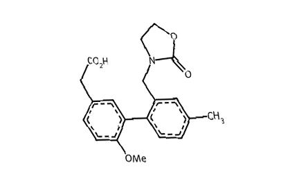 COc1ccc(CC(=O)O)cc1-c1ccc(C)cc1CN1CCOC1=O